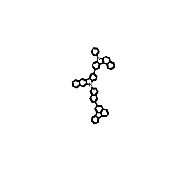 c1ccc(-n2c3ccc(-c4ccc5c(c4)c4cc6ccccc6cc4n5-c4ccc5cc(-c6cc7c8c(cccc8c6)-c6ccccc6-7)ccc5c4)cc3c3c4ccccc4ccc32)cc1